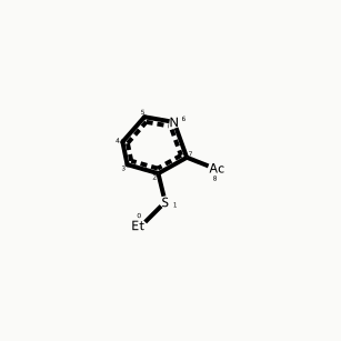 CCSc1cccnc1C(C)=O